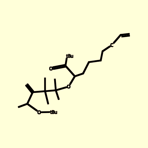 C=CCCCCCC(OC(C)(C)C(C)(C)C(=C)C(C)OC(C)(C)C)C(=O)C(C)(C)C